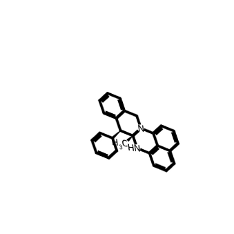 C[C@]12Nc3cccc4cccc(c34)N1Cc1ccccc1[C@@H]2C1C=CC=CC1